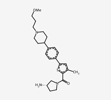 COCCCN1CCC(c2ccc(-c3cc(C)c(C(=O)N4CC[C@H](N)C4)s3)cc2)CC1